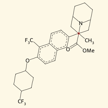 COC(=O)C1CC2CCCC(C1)N2C(C)c1ccc2c(C(F)(F)F)c(OC3CCC(C(F)(F)F)CC3)ccc2c1